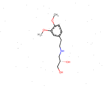 COc1ccc(CCNC[C@H](O)CO)cc1OC